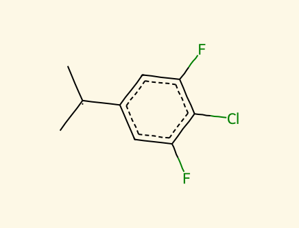 C[C](C)c1cc(F)c(Cl)c(F)c1